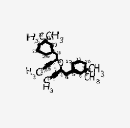 CC#CC(CC1=CC(C)(C)CCC1)OC(C#CC)CC1=CC(C)(C)CCC1